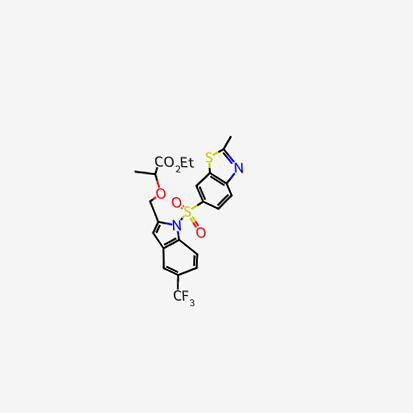 CCOC(=O)C(C)OCc1cc2cc(C(F)(F)F)ccc2n1S(=O)(=O)c1ccc2nc(C)sc2c1